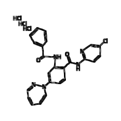 Cl.Cl.Cl.O=C(Nc1cc(N2C=CC=CC=N2)ccc1C(=O)Nc1ccc(Cl)cn1)c1ccccc1